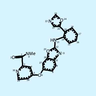 CNC(=O)c1cc(Oc2ccc3nc(Nc4ccccc4-c4cnco4)oc3c2)ccn1